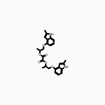 Cc1cc2c(OCC(C)OC(=O)C(=O)OC(C)COc3cccc4[nH]c(C)cc34)cccc2[nH]1